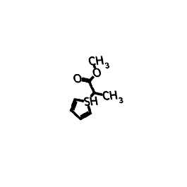 COC(=O)C(C)[SH]1C=CC=C1